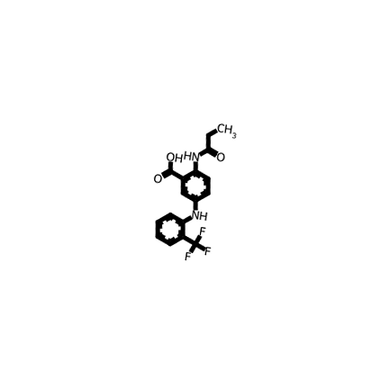 CCC(=O)Nc1ccc(Nc2ccccc2C(F)(F)F)cc1C(=O)O